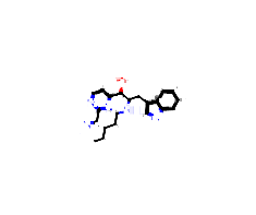 CCCCCNC(Cc1c[nH]c2ccccc12)C(=O)c1ccnc(CN)n1.O